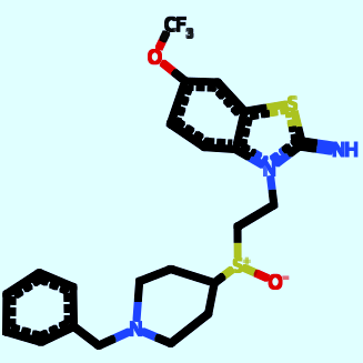 N=c1sc2cc(OC(F)(F)F)ccc2n1CC[S+]([O-])C1CCN(Cc2ccccc2)CC1